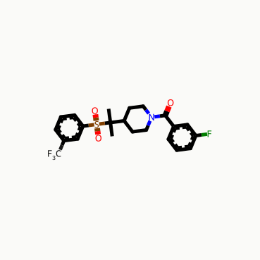 CC(C)(C1CCN(C(=O)c2cccc(F)c2)CC1)S(=O)(=O)c1cccc(C(F)(F)F)c1